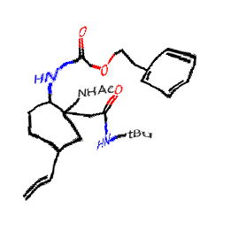 C=CC1CCC(NC(=O)OCc2ccccc2)C(NC(C)=O)(C(=O)NC(C)(C)C)C1